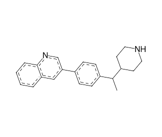 CC(c1ccc(-c2cnc3ccccc3c2)cc1)C1CCNCC1